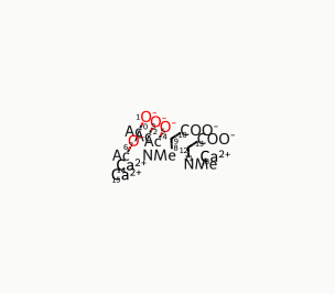 CC(=O)[O-].CC(=O)[O-].CC(=O)[O-].CC(=O)[O-].CNCC(=O)[O-].CNCC(=O)[O-].[Ca+2].[Ca+2].[Ca+2]